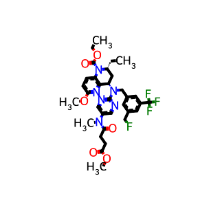 CCOC(=O)N1c2ccc(OC)nc2[C@@H](N(Cc2cc(CF)cc(C(F)(F)F)c2)c2ncc(N(C)C(=O)CCC(=O)OC)cn2)C[C@H]1CC